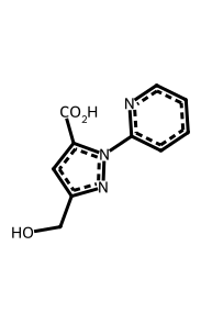 O=C(O)c1cc(CO)nn1-c1ccccn1